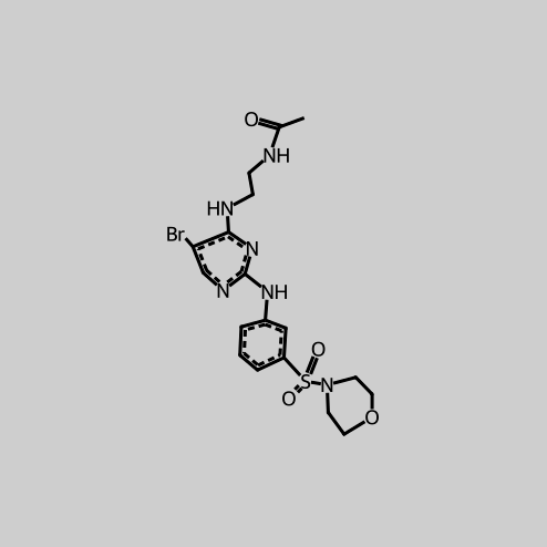 CC(=O)NCCNc1nc(Nc2cccc(S(=O)(=O)N3CCOCC3)c2)ncc1Br